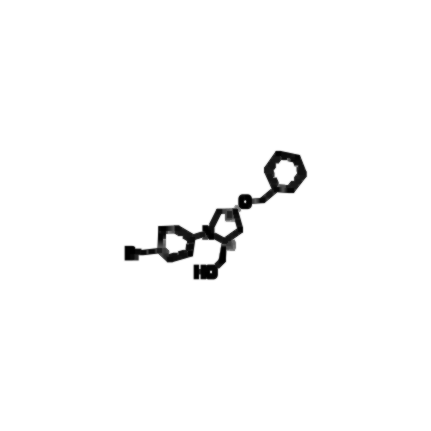 OC[C@@H]1C[C@@H](OCc2ccccc2)CN1c1ccc(Br)cc1